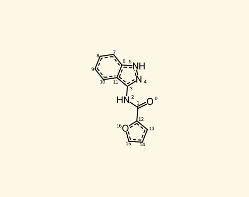 O=C(Nc1n[nH]c2ccccc12)c1ccco1